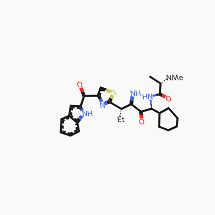 CC[C@@H](C(=N)C(=O)[C@@H](NC(=O)[C@H](C)NC)C1CCCCC1)c1nc(C(=O)c2cc3ccccc3[nH]2)cs1